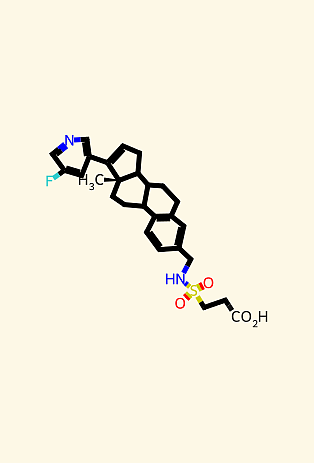 C[C@]12CCC3c4ccc(CNS(=O)(=O)CCC(=O)O)cc4CCC3C1CC=C2c1cncc(F)c1